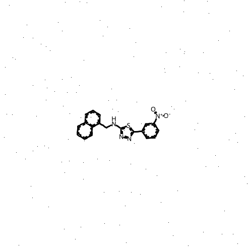 O=[N+]([O-])c1cccc(-c2nnc(NCc3cccc4ccccc34)s2)c1